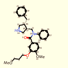 COCCCOc1cc(C(=O)N(C[C@H]2CNC[C@@H]2Cc2ccccc2)c2ccccc2)ccc1OC